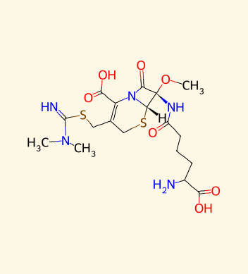 CO[C@@]1(NC(=O)CCCC(N)C(=O)O)C(=O)N2C(C(=O)O)=C(CSC(=N)N(C)C)CS[C@H]21